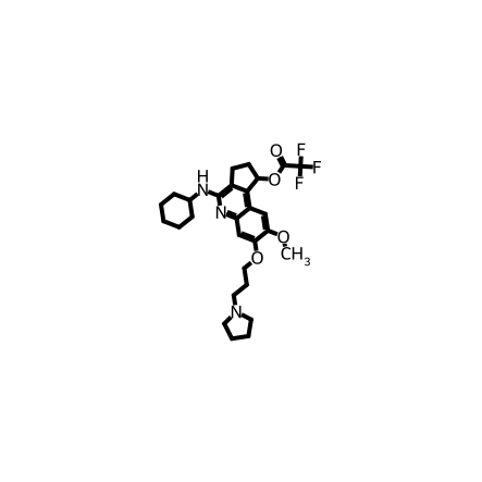 COc1cc2c3c(c(NC4CCCCC4)nc2cc1OCCCN1CCCC1)CCC3OC(=O)C(F)(F)F